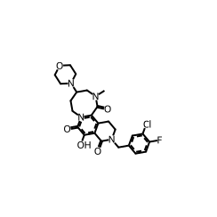 CN1CC(N2CCOCC2)CCn2c(c3c(c(O)c2=O)C(=O)N(Cc2ccc(F)c(Cl)c2)CC3)C1=O